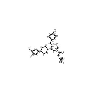 Cc1cc(C2CCC(N3C[C@H](C(=O)OC(=O)C(F)(F)F)OC[C@@H]3Cc3ccc(Cl)cc3)CC2)nn1C